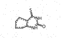 O=c1[nH]c(=S)c2ccccc2[nH]1